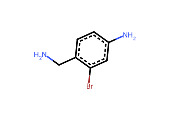 NCc1ccc(N)cc1Br